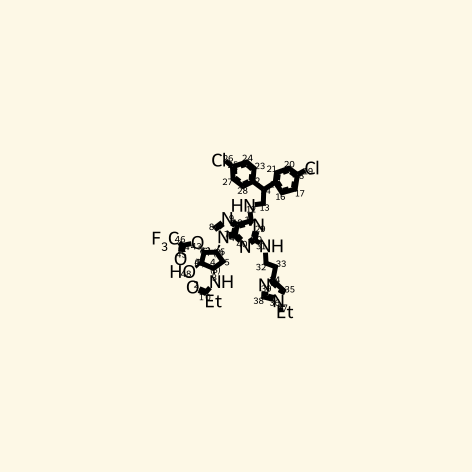 CCC(=O)N[C@H]1C[C@@H](n2cnc3c(NCC(c4ccc(Cl)cc4)c4ccc(Cl)cc4)nc(NCCc4cn(CC)cn4)nc32)[C@H](OC(=O)C(F)(F)F)[C@@H]1O